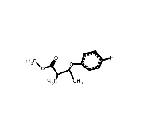 COC(=O)C(C)C(C)Oc1ccc(F)cc1